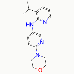 CC(C)c1cccnc1Nc1ccc(N2CCOCC2)nc1